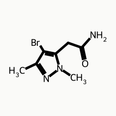 Cc1nn(C)c(CC(N)=O)c1Br